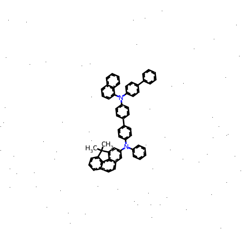 CC1(C)c2cccc3ccc4cc(N(c5ccccc5)c5ccc(-c6ccc(N(c7ccc(-c8ccccc8)cc7)c7cccc8ccccc78)cc6)cc5)cc1c4c23